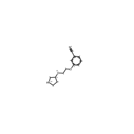 N#Cc1cccc(OCCOC2CCNC2)c1